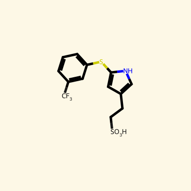 O=S(=O)(O)CCc1c[nH]c(Sc2cccc(C(F)(F)F)c2)c1